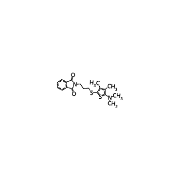 Cc1c(SCCCN2C(=O)c3ccccc3C2=O)sc(N(C)C)c1C